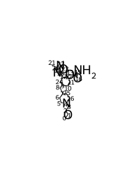 COCCN1CCC(Cc2ccc(OC(N)=O)c(-c3nc(C)no3)c2)CC1